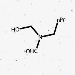 CCCCN([C]=O)CO